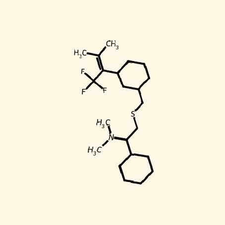 CC(C)=C(C1CCCC(CSCC(C2CCCCC2)N(C)C)C1)C(F)(F)F